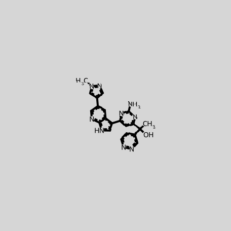 Cn1cc(-c2cnc3[nH]cc(-c4cc(C(C)(O)c5ccnnc5)nc(N)n4)c3c2)cn1